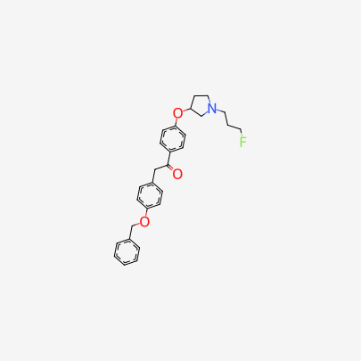 O=C(Cc1ccc(OCc2ccccc2)cc1)c1ccc(OC2CCN(CCCF)C2)cc1